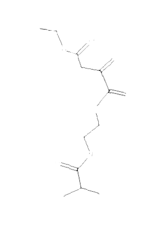 CCOC(=O)CC(=O)C(=O)SCCNC(=O)C(C)C